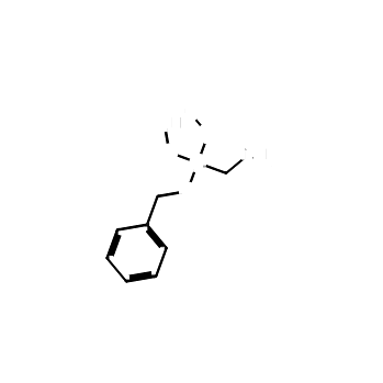 CO[Si](CN)(OC)OCc1ccccc1